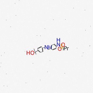 CC(C)S(=O)(=O)Nc1ccc(CNc2ccc(C(C)(C)O)cc2)cc1